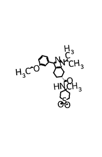 CCOc1cccc(-c2nn(C(C)C)c3c2CC[C@@H](C(=O)NC2(C)CCS(=O)(=O)CC2)C3)c1